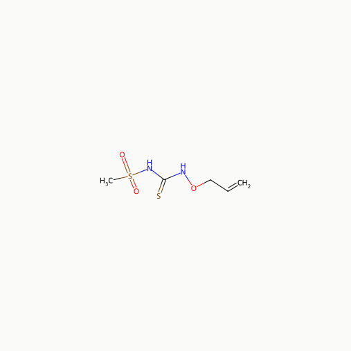 C=CCONC(=S)NS(C)(=O)=O